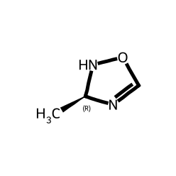 C[C@@H]1N=CON1